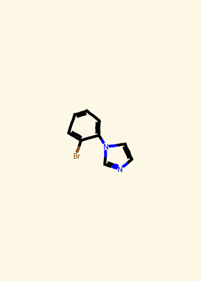 Brc1cc[c]cc1-n1ccnc1